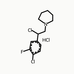 Cl.Fc1cc(C(Cl)CN2CCCCC2)ccc1Cl